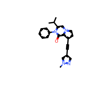 CC(C)c1cn2ccc(C#Cc3cnn(C)c3)c2c(=O)n1-c1ccccc1